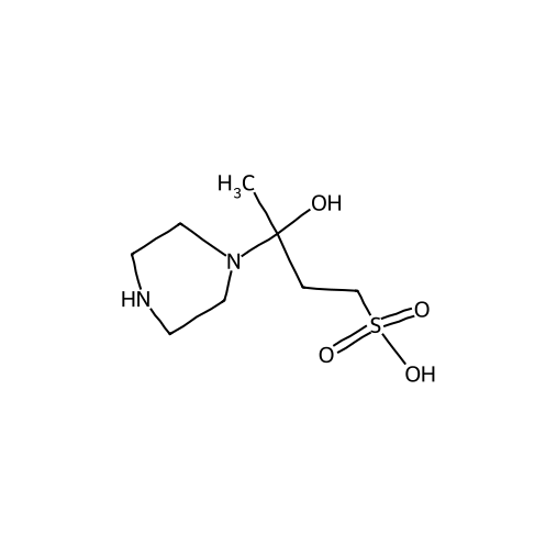 CC(O)(CCS(=O)(=O)O)N1CCNCC1